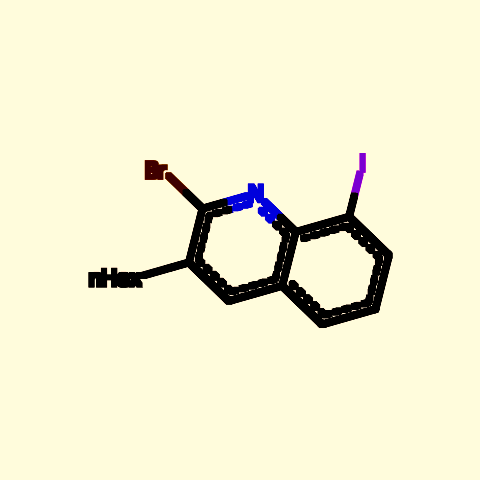 CCCCCCc1cc2cccc(I)c2nc1Br